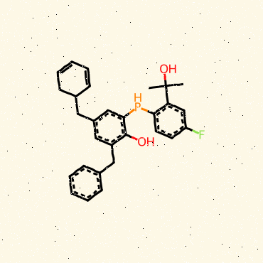 CC(C)(O)c1cc(F)ccc1Pc1cc(CC2C=CC=CC2)cc(Cc2ccccc2)c1O